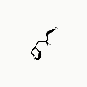 CCCC(O)Cc1ccncc1